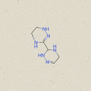 C1=NNC(C2=NNCCN2)NC1